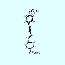 CCCCC[C@H]1CC[C@H](C=CC#Cc2ccc(C(=O)O)cc2)CC1